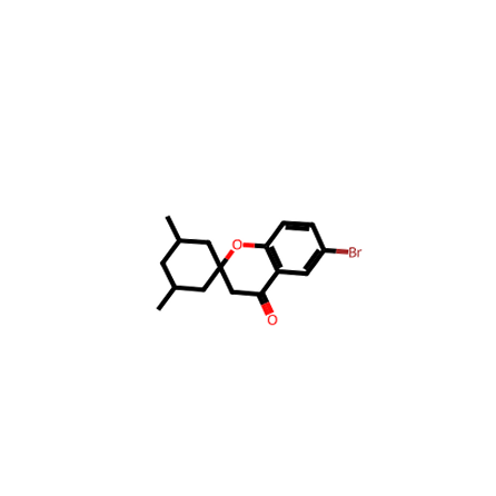 CC1CC(C)CC2(CC(=O)c3cc(Br)ccc3O2)C1